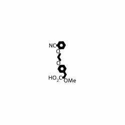 CO[C@@H](Cc1ccc(OCCCOc2ccccc2C#N)cc1)C(=O)O